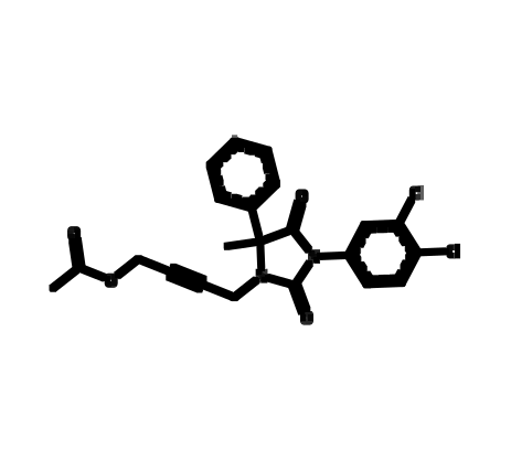 CC(=O)OCC#CCN1C(=O)N(c2ccc(Cl)c(Cl)c2)C(=O)C1(C)c1cc[c]cc1